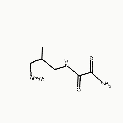 CCCCCCC(C)CNC(=O)C(N)=O